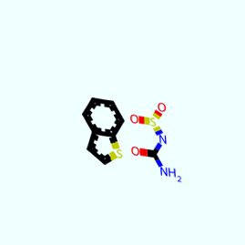 NC(=O)N=S(=O)=O.c1ccc2sccc2c1